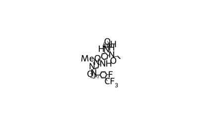 C=CC(=O)Nc1cc(Nc2cc(N3OCC[C@@H]3c3ccc(F)c(C(F)(F)F)c3)ncn2)c(OC)cc1N1C[C@H]2C[C@@H]1CO2